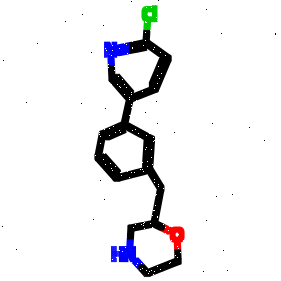 Clc1ccc(-c2cccc(CC3CNCCO3)c2)cn1